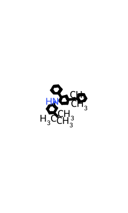 CC(C)(C)c1cccc(Nc2ccc(C(C)(C)c3ccccc3)cc2-c2ccccc2)c1